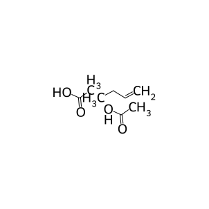 C=CCC.CC(=O)O.CC(=O)O